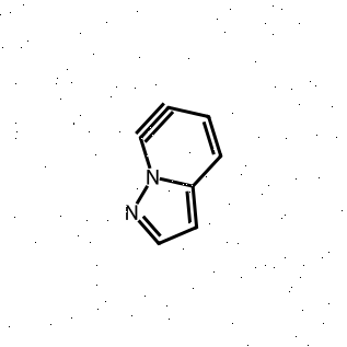 c1ccc2ccnn2c#1